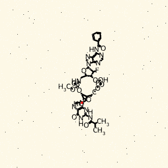 COP1(=O)NCC2OC(n3cnc4c(NC(=O)c5ccccc5)ncnc43)C(F)C2OP(=O)(O)OCC2OC(n3cnc4c(=O)[nH]c(NC(=O)C(C)C)nc43)C(O1)C2CO